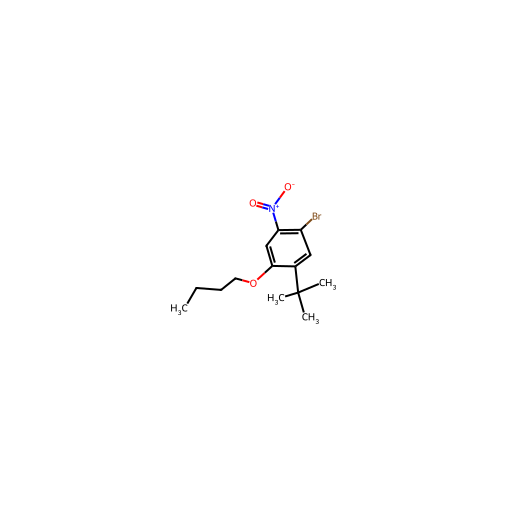 CCCCOc1cc([N+](=O)[O-])c(Br)cc1C(C)(C)C